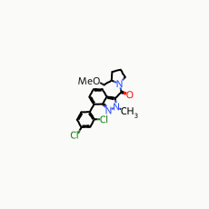 COCC1CCCN1C(=O)c1c2cccc(-c3ccc(Cl)cc3Cl)c2nn1C